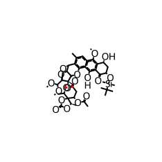 COc1c2c(c(O)c3c4c(c(C)cc13)C1OC3(C(OC)OC)OC1[C@@](OC1CC(OC(C)=O)C5(OC(=O)O[C@@H]5C)C(C)O1)(O4)[C@@]31CO1)C(=O)C(O[Si](C)(C)C(C)(C)C)C[C@@H]2O